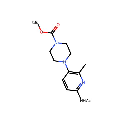 CC(=O)Nc1ccc(N2CCN(C(=O)OC(C)(C)C)CC2)c(C)n1